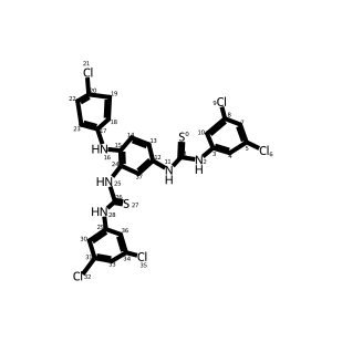 S=C(Nc1cc(Cl)cc(Cl)c1)Nc1ccc(Nc2ccc(Cl)cc2)c(NC(=S)Nc2cc(Cl)cc(Cl)c2)c1